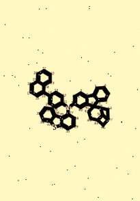 c1ccc2c(c1)-c1ccc(N(c3ccc(-c4cccc5ccccc45)cc3)c3cccc4sc5ccccc5c34)cc1C21CCC2CC3CC1C23